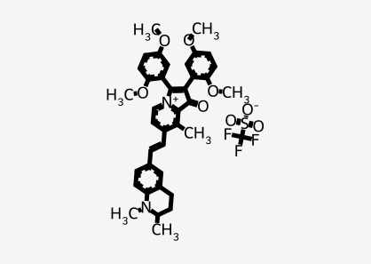 COc1ccc(OC)c(C2=C(c3cc(OC)ccc3OC)[n+]3ccc(C=Cc4ccc5c(c4)CCC(C)N5C)c(C)c3C2=O)c1.O=S(=O)([O-])C(F)(F)F